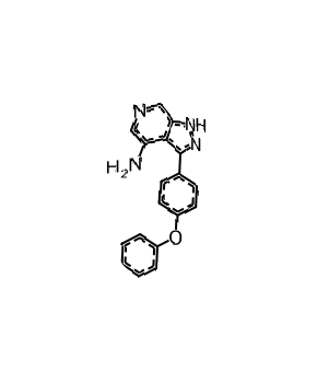 Nc1cncc2[nH]nc(-c3ccc(Oc4ccccc4)cc3)c12